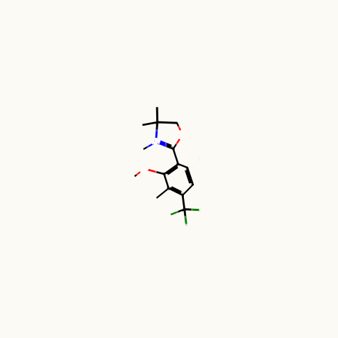 COc1c(C2=[N+](C)C(C)(C)CO2)ccc(C(F)(F)F)c1C.[I-]